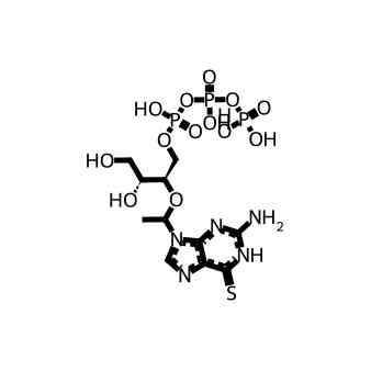 CC(O[C@H](COP(=O)(O)OP(=O)(O)OP(=O)(O)O)[C@H](O)CO)n1cnc2c(=S)[nH]c(N)nc21